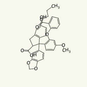 CCCOc1ccc2c(c1)CC(C(=O)O)C2(c1ccc2c(c1)OCO2)c1ccc(OC)cc1Oc1ccccc1C(=O)O